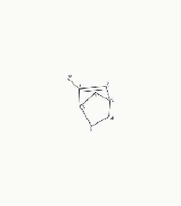 CC1=[C][C]2CCC1C2